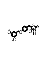 COc1cc(COc2ccc(C=C3SC(=S)NC3=O)cc2)cc(OC)c1